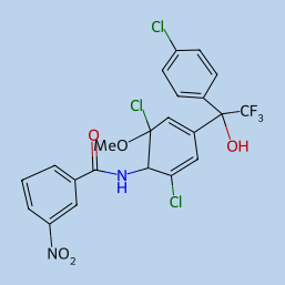 COC1(Cl)C=C(C(O)(c2ccc(Cl)cc2)C(F)(F)F)C=C(Cl)C1NC(=O)c1cccc([N+](=O)[O-])c1